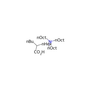 CCCCCCC(CCCC)C(=O)O.CCCCCCCCN(CCCCCCCC)CCCCCCCC